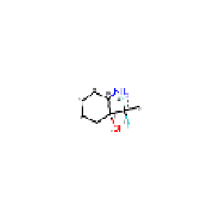 CC(F)(F)C1(O)CCCCC1N